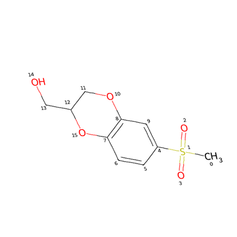 CS(=O)(=O)c1ccc2c(c1)OCC(CO)O2